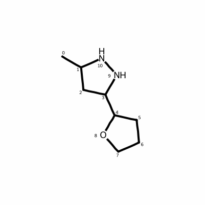 CC1CC(C2CCCO2)NN1